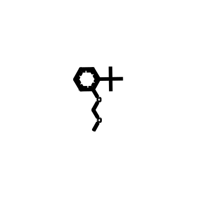 COCOc1[c]cccc1C(C)(C)C